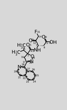 CC(C)C1(C(=O)N[C@@H](CC(=O)O)C(=O)CF)CC(c2nccc3ccccc23)=NO1